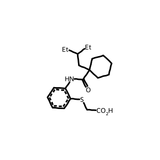 CCC(CC)CC1(C(=O)Nc2ccccc2SCC(=O)O)CCCCC1